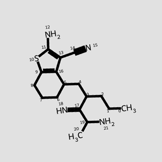 CCCC(CC1CCCc2sc(N)c(C#N)c21)C(=N)C(C)N